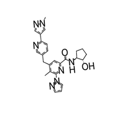 Cc1c(Cc2ccc(-c3cnn(C)c3)nc2)cc(C(=O)N[C@H]2CCC[C@@H]2O)nc1-n1cccn1